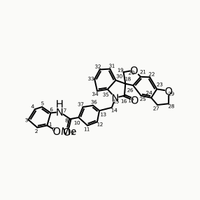 COc1ccccc1NC(=O)c1ccc(CN2C(=O)C3(COc4cc5c(cc43)CCO5)c3ccccc32)cc1